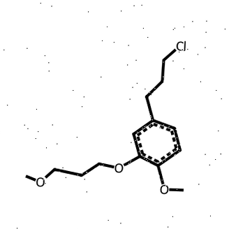 COCCCOc1cc(CCCCl)ccc1OC